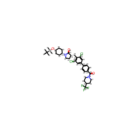 CC(C)(C)[Si](C)(C)O[C@H]1CC[C@@H](N2CC[C@@H](Cc3c(Cl)cc(-c4ccc(C(=O)N5CCC(C(F)(F)F)CC5)cc4)cc3Cl)C2=O)CC1